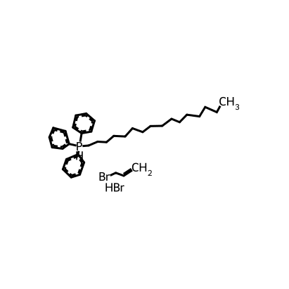 Br.C=CCBr.CCCCCCCCCCCCCCCC[PH](c1ccccc1)(c1ccccc1)c1ccccc1